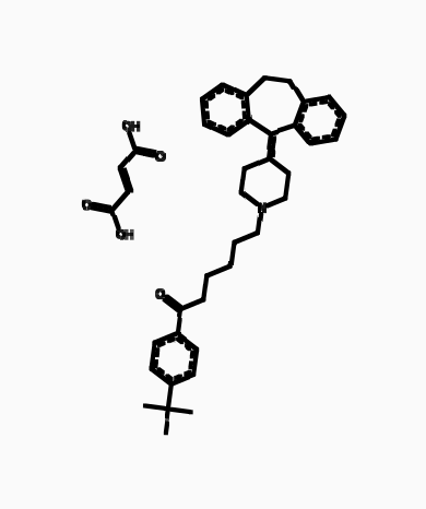 CC(C)(C)c1ccc(C(=O)CCCCCN2CCC(=C3c4ccccc4CCc4ccccc43)CC2)cc1.O=C(O)C=CC(=O)O